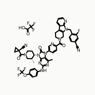 Cc1nc(Nc2ccc(OC(F)(F)F)cc2)nc2c1n(-c1ccc(C(=O)N3CCc4c(n(Cc5ccc(C#N)cc5F)c5ncccc45)C3)nc1)c(=O)n2[C@H]1CCN(C(=O)C2(C#N)CC2)C[C@H]1C.O=C(O)C(F)(F)F